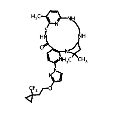 Cc1ccc2nc1SNC(=O)c1ccc(-n3ccc(OCCC4(C(F)(F)F)CC4)n3)nc1N1CC(CC1(C)C)NCCN2